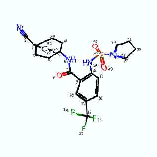 N#CC12CCC(NC(=O)c3cc(C(F)(F)F)ccc3NS(=O)(=O)N3CCCC3)(CC1)CC2